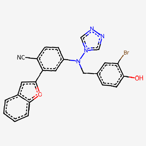 N#Cc1ccc(N(Cc2ccc(O)c(Br)c2)n2cnnc2)cc1-c1cc2ccccc2o1